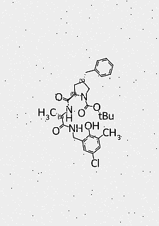 Cc1cc(Cl)cc(CNC(=O)[C@H](C)NC(=O)[C@H]2C[C@H](Cc3ccccc3)CN2C(=O)OC(C)(C)C)c1O